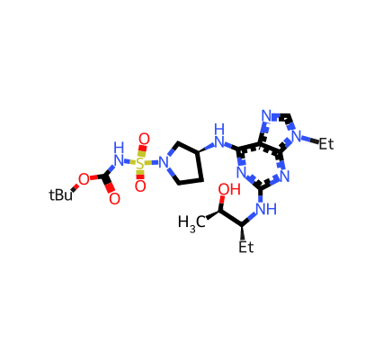 CC[C@H](Nc1nc(N[C@H]2CCN(S(=O)(=O)NC(=O)OC(C)(C)C)C2)c2ncn(CC)c2n1)[C@@H](C)O